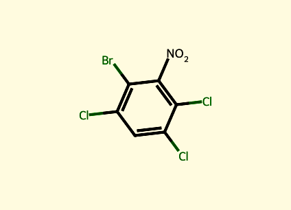 O=[N+]([O-])c1c(Cl)c(Cl)cc(Cl)c1Br